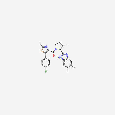 Cc1nc(C(=O)N2CC[C@H](C)[C@H]2c2nc3cc(C)c(C)cc3[nH]2)c(-c2ccc(F)cc2)s1